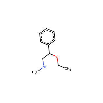 CCOC(CNC)c1ccccc1